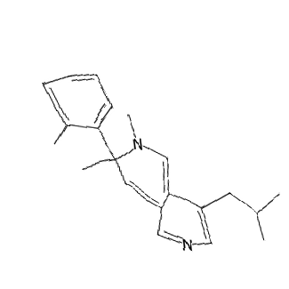 Cc1ccccc1C1(C)C=c2cncc(CC(C)C)c2=CN1C